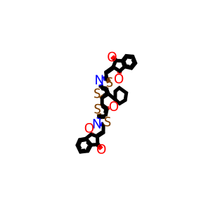 O=C1C(=Cc2nc3sc4c(c3s2)OC2(CCCCC2)c2c-4sc3nc(C=C4C(=O)c5ccccc5C4=O)sc23)C(=O)c2ccccc21